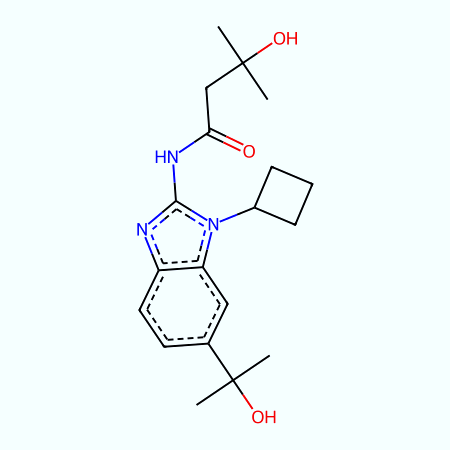 CC(C)(O)CC(=O)Nc1nc2ccc(C(C)(C)O)cc2n1C1CCC1